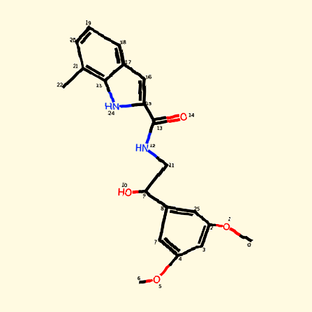 COc1cc(OC)cc(C(O)CNC(=O)c2cc3cccc(C)c3[nH]2)c1